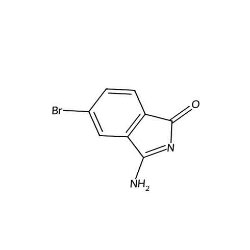 NC1=NC(=O)c2ccc(Br)cc21